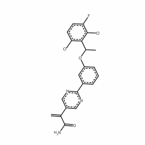 C=C(C(N)=O)c1cnc(-c2cccc(OC(C)c3c(Cl)ccc(F)c3Cl)c2)nc1